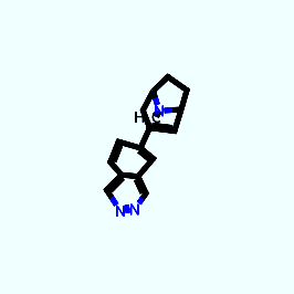 CN1C2C=C(c3ccc4cnncc4c3)CC1CC2